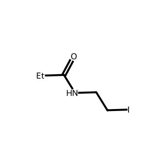 CCC(=O)NCCI